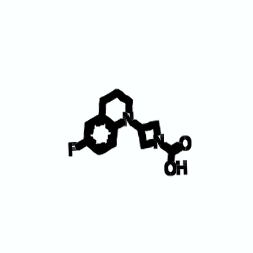 O=C(O)N1CC(N2CCCc3cc(F)ccc32)C1